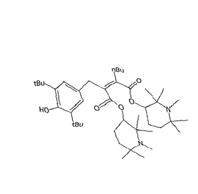 CCCCC(C(=O)OC1CCC(C)(C)N(C)C1(C)C)=C(Cc1cc(C(C)(C)C)c(O)c(C(C)(C)C)c1)C(=O)OC1CCC(C)(C)N(C)C1(C)C